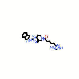 O=C(CCCCC1=NNCN1)N1CCc2nc(NC3Cc4ccccc4C3)ncc2C1